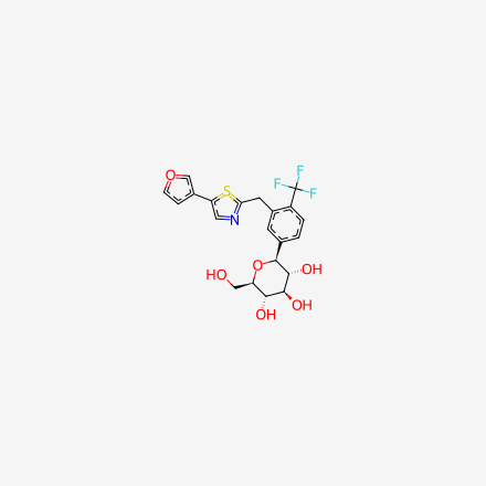 OC[C@H]1O[C@@H](c2ccc(C(F)(F)F)c(Cc3ncc(-c4ccoc4)s3)c2)[C@H](O)[C@@H](O)[C@@H]1O